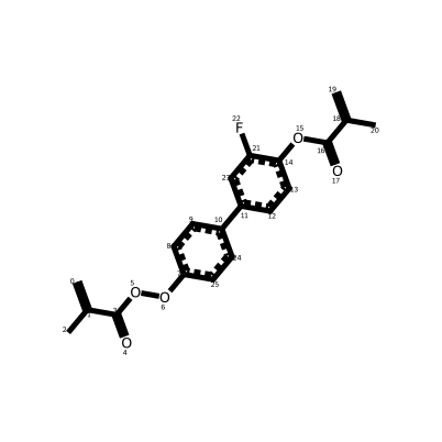 C=C(C)C(=O)OOc1ccc(-c2ccc(OC(=O)C(=C)C)c(F)c2)cc1